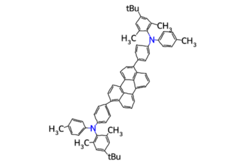 Cc1ccc(N(c2ccc(-c3ccc4c5ccc(-c6ccc(N(c7ccc(C)cc7)c7c(C)cc(C(C)(C)C)cc7C)cc6)c6cccc(c7cccc3c74)c65)cc2)c2c(C)cc(C(C)(C)C)cc2C)cc1